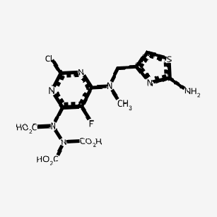 CN(Cc1csc(N)n1)c1nc(Cl)nc(N(C(=O)O)N(C(=O)O)C(=O)O)c1F